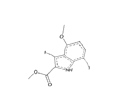 COC(=O)c1[nH]c2c(I)ccc(OC)c2c1I